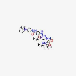 COc1cc(C(=O)NC2CCC(N(C)C)CC2)ccc1Nc1nccc(Nc2c(NC(C)(C)C)c(=O)c2=O)n1